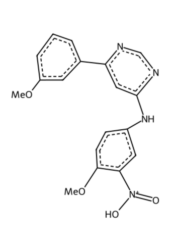 COc1cccc(-c2cc(Nc3ccc(OC)c([N+](=O)O)c3)ncn2)c1